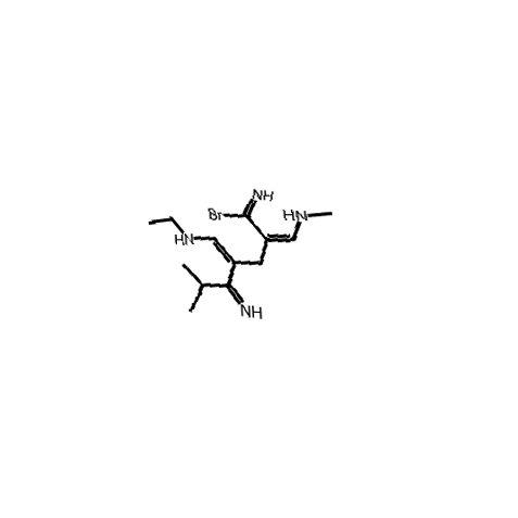 CCN/C=C(/C/C(=C/NC)C(=N)Br)C(=N)C(C)C